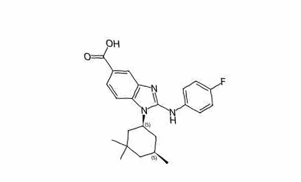 C[C@@H]1C[C@H](n2c(Nc3ccc(F)cc3)nc3cc(C(=O)O)ccc32)CC(C)(C)C1